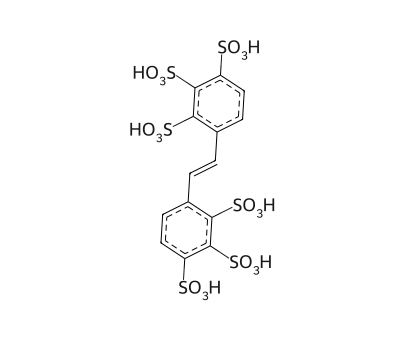 O=S(=O)(O)c1ccc(/C=C/c2ccc(S(=O)(=O)O)c(S(=O)(=O)O)c2S(=O)(=O)O)c(S(=O)(=O)O)c1S(=O)(=O)O